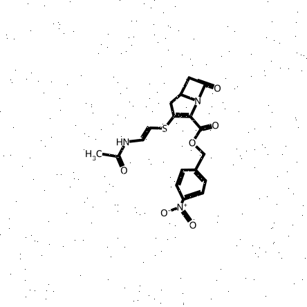 CC(=O)N/C=C/SC1=C(C(=O)OCc2ccc([N+](=O)[O-])cc2)N2C(=O)CC2C1